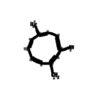 Cc1ccc(S)cc(C)ccnc1